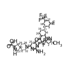 Cc1ccn(-c2cc(-c3cc(F)cc(C(F)(F)F)c3)ccc2[C@@H](Oc2cc(N3CCC4(CC3)CN[C@H](C(=O)O)C4)nc(N)n2)C(F)(F)F)n1